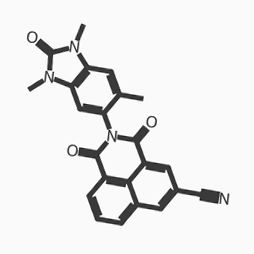 Cc1cc2c(cc1N1C(=O)c3cccc4cc(C#N)cc(c34)C1=O)n(C)c(=O)n2C